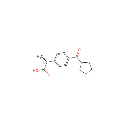 C[C@H](C(=O)O)c1ccc(C(=O)C2CCCC2)cc1